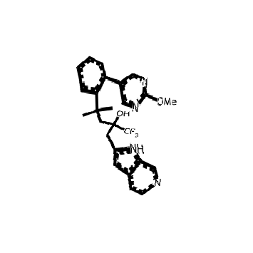 COc1ncc(-c2ccccc2C(C)(C)CC(O)(Cc2cc3ccncc3[nH]2)C(F)(F)F)cn1